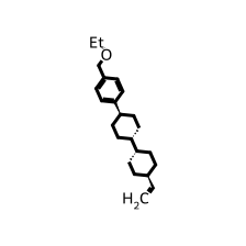 C=C[C@H]1CC[C@H]([C@H]2CC[C@H](c3ccc(COCC)cc3)CC2)CC1